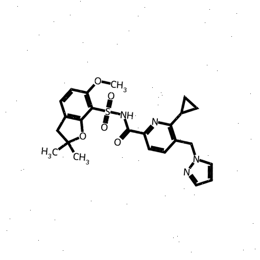 COc1ccc2c(c1S(=O)(=O)NC(=O)c1ccc(Cn3cccn3)c(C3CC3)n1)OC(C)(C)C2